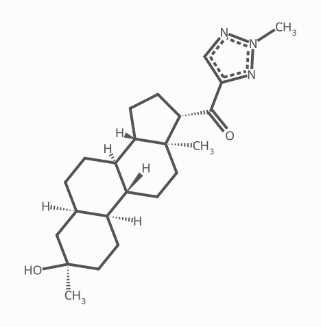 Cn1ncc(C(=O)[C@H]2CC[C@H]3[C@@H]4CC[C@@H]5C[C@](C)(O)CC[C@@H]5[C@H]4CC[C@]23C)n1